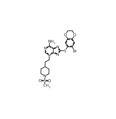 CS(=O)(=O)N1CCC(CCn2cnc(N)c3nc(Sc4cc5c(cc4Br)OCCO5)nc2-3)CC1